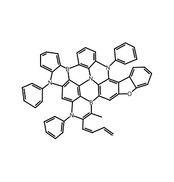 C=C/C=C\C1=C(C)B2c3cc4oc5ccccc5c4c4c3N3c5c(cccc5N4c4ccccc4)B4c5ccccc5N(c5ccccc5)c5cc(c2c3c54)N1c1ccccc1